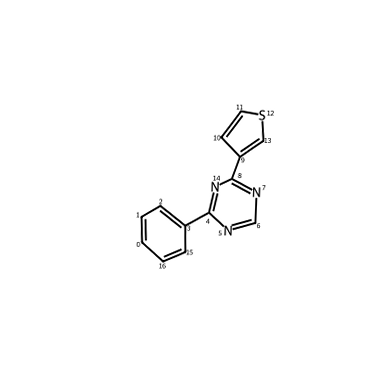 c1ccc(-c2ncnc(-c3ccsc3)n2)cc1